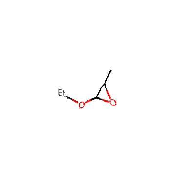 CCOC1OC1C